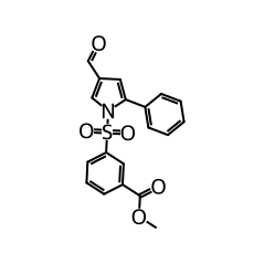 COC(=O)c1cccc(S(=O)(=O)n2cc(C=O)cc2-c2ccccc2)c1